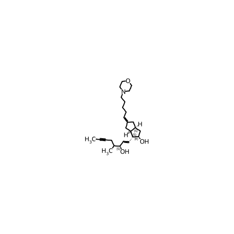 CC#CCC(C)[C@H](O)C=C[C@@H]1[C@H]2CC(=CCCCCN3CCOCC3)C[C@H]2C[C@H]1O